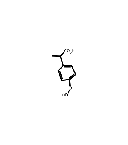 CCCOc1ccc(C(C)C(=O)O)cc1